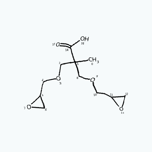 CC(COCC1CO1)(COCC1CO1)C(=O)O